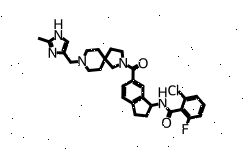 Cc1nc(CN2CCC3(CC2)CCN(C(=O)c2ccc4c(c2)C(NC(=O)c2c(F)cccc2Cl)CC4)C3)c[nH]1